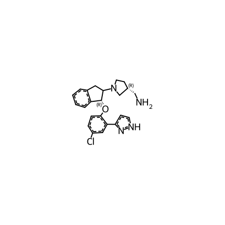 NC[C@H]1CCN(C2Cc3ccccc3[C@H]2Oc2ccc(Cl)cc2-c2cc[nH]n2)C1